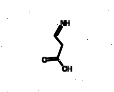 N=CCC(=O)O